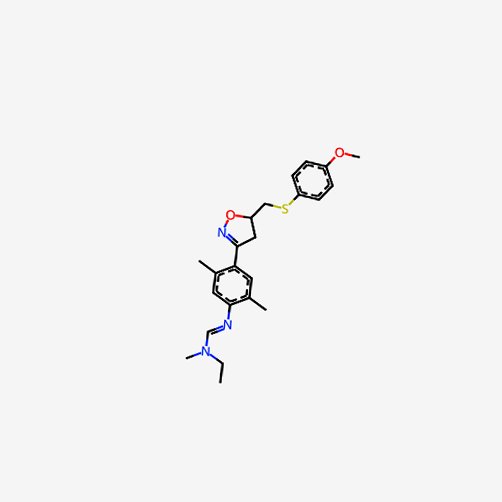 CCN(C)C=Nc1cc(C)c(C2=NOC(CSc3ccc(OC)cc3)C2)cc1C